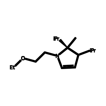 CCOCCN1C=CC(C(C)C)[C@]1(C)C(C)C